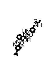 C=CC(=O)NCc1cccc(Nc2nc(-c3cccc(-n4cnc5cc(C6CC6)cc(F)c5c4=O)c3CO)cn(C)c2=O)c1